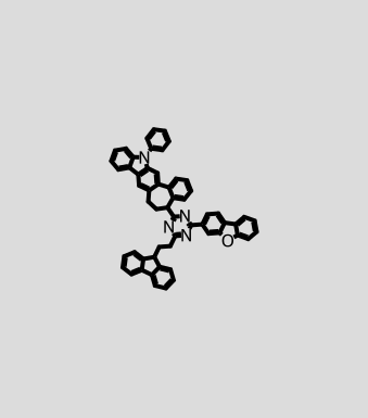 c1ccc(-n2c3ccccc3c3cc4c(cc32)-c2ccccc2C(c2nc(CCC3c5ccccc5-c5ccccc53)nc(-c3ccc5c(c3)oc3ccccc35)n2)CC4)cc1